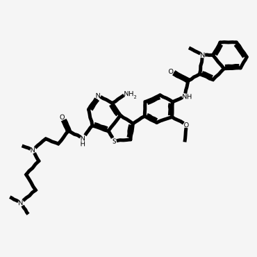 COc1cc(-c2csc3c(NC(=O)CCN(C)CCCN(C)C)cnc(N)c23)ccc1NC(=O)c1cc2ccccc2n1C